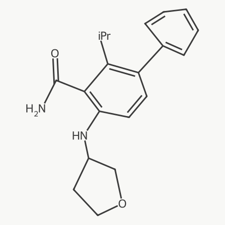 CC(C)c1c(-c2ccccc2)ccc(NC2CCOC2)c1C(N)=O